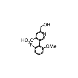 COc1cccc(F)c1-c1cnc(CO)cc1C(=O)O